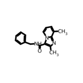 Cc1nc2c(C)cccn2c1C(=O)NCc1ccccc1